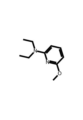 CCN(CC)c1cccc(OC)n1